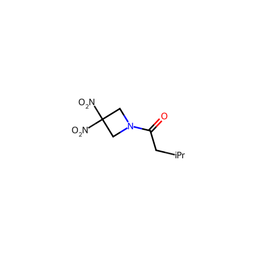 CC(C)CC(=O)N1CC([N+](=O)[O-])([N+](=O)[O-])C1